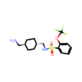 NC[C@H]1CC[C@H](CNS(=O)(=O)c2ccccc2OC(F)(F)F)CC1